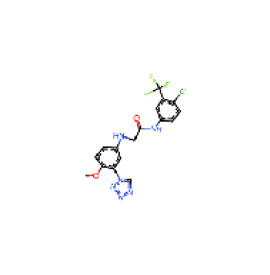 COc1ccc(NCC(=O)Nc2ccc(Cl)c(C(F)(F)F)c2)cc1-n1cnnn1